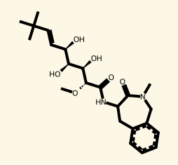 CO[C@@H](C(=O)NC1Cc2ccccc2CN(C)C1=O)[C@H](O)[C@@H](O)[C@H](O)C=CC(C)(C)C